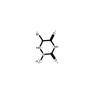 CN1NC(Br)C(=O)NC1=O